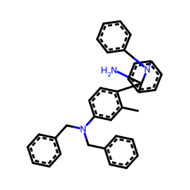 Cc1cc(N(Cc2ccccc2)Cc2ccccc2)ccc1C1(N)c2ccc(cc2)N1c1ccccc1